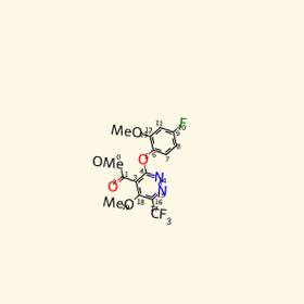 COC(=O)c1c(Oc2ccc(F)cc2OC)nnc(C(F)(F)F)c1OC